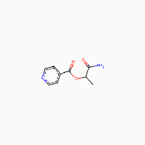 CC(OC(=O)c1ccncc1)C(N)=O